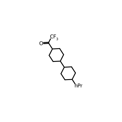 CCCC1CCC(C2CCC(C(=O)C(F)(F)F)CC2)CC1